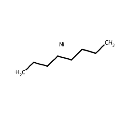 [CH2]CCCCCCC.[Ni]